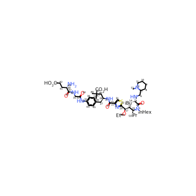 CCCCCCN(C(=O)[C@@H](NCC1CCCCN1C)[C@@H](C)CC)[C@H](C[C@@H](OCC)c1nc(C(=O)N[C@@H](Cc2ccc(NC(=O)CNC(=O)[C@@H](N)CCC(=O)O)cc2)CC(C)(C)C(=O)O)cs1)C(C)C